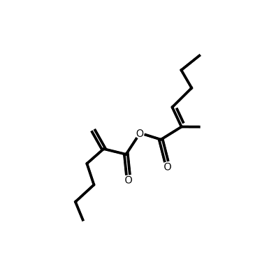 C=C(CCCC)C(=O)OC(=O)C(C)=CCCC